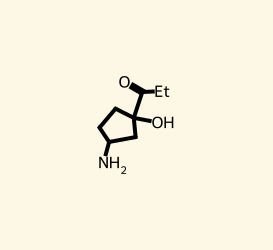 CCC(=O)C1(O)CCC(N)C1